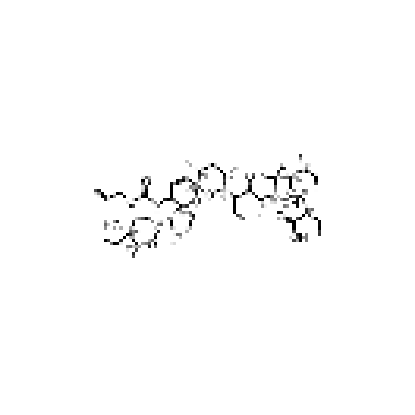 C=CCOC(=O)NC1C=C[C@]2(O[C@H](C(CC)C(=O)[C@@H](C)[C@@H](O)C3(C)C[C@]34O[C@@H]([C@@H](CC)C(=O)O)CC[C@@H]4C)[C@@H](C)C[C@H]2C)O[C@@]12CC[C@@](C)([C@H]1CC[C@](O)(CC)[C@H](C)O1)O2